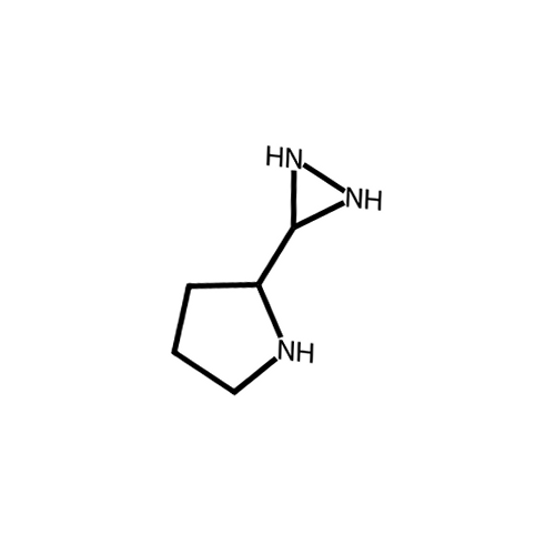 C1CNC(C2NN2)C1